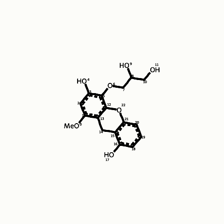 COc1cc(O)c(OCC(O)CO)c2c1Cc1c(O)cccc1O2